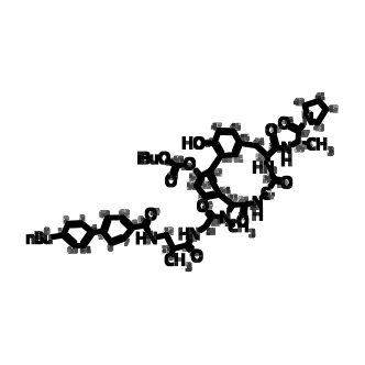 CCCCc1ccc(-c2ccc(C(=O)NCC(C)C(=O)NCC(=O)N(C)C3C(=O)NCC(=O)NC(C(=O)N[C@@H](C)C(=O)N4CCCC4)Cc4ccc(O)c(c4)-c4cc3ccc4OC(=O)OCC(C)C)cc2)cc1